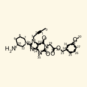 CC#CCn1c(N2CCC[C@@H](N)C2)nc2c1c(=O)n(CC(=O)OCc1cccc(OC)c1)c(=O)n2C